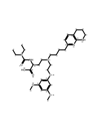 CCN(CC)C(=O)N[C@@H](CCN(CCCCc1ccc2c(n1)NCCC2)CCOc1cc(OC)cc(OC)c1)C(=O)O